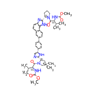 COC(=O)N[C@H](C(=O)N1C[Si](C)(C)C[C@H]1c1ncc(-c2ccc(-c3ccc4c(ccc5nc([C@@H]6CCCN6C(=O)[C@@H](NC(=O)OC)C(C)C)[nH]c54)c3)cc2)[nH]1)C(C)C